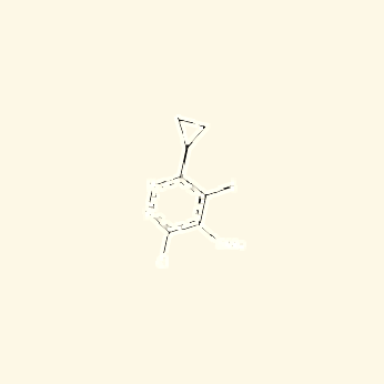 COc1c(Cl)nnc(C2CC2)c1I